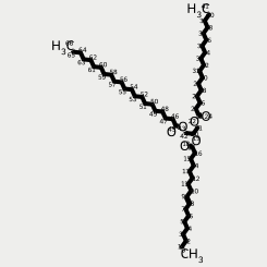 CCCCCCCCC=CCCCCCCCC(=O)OC(COC(=O)CCCCCCCCCCCCCCCCC)COC(=O)CCCCCCCCCCCCCCCCCCCCC